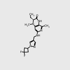 CC[C@H]1C(=O)Nc2c(cc(NCc3cnn(C4CC(F)(F)C4)c3)nc2C)N1C